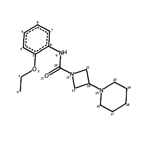 CCOc1ccccc1NC(=O)N1CC(N2CCCCC2)C1